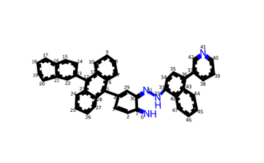 N=C1C=CC(c2c3ccccc3c(-c3ccc4ccccc4c3)c3ccccc23)=C/C1=N/Nc1ccc(-c2cccnc2)c2ccccc12